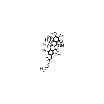 C=CCCC(=O)Cc1cc(C(C)C)c2c(c1O)C(=O)C1=C(O)[C@@]3(O)C(=O)C(C(C)=O)=C(O)C(C(C)C)[C@@]3(C)C[C@@]1(C)C2